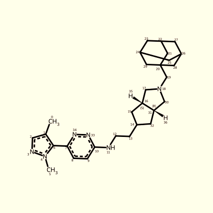 Cc1cnn(C)c1-c1ccc(NCCC2C[C@@H]3CN(CC45CC6CC(CC(C6)C4)C5)C[C@@H]3C2)nn1